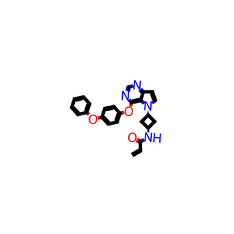 C=CC(=O)N[C@H]1C[C@H](n2ccc3ncnc(Oc4ccc(Oc5ccccc5)cc4)c32)C1